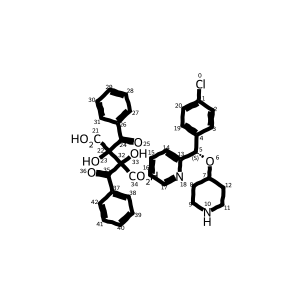 Clc1ccc([C@H](OC2CCNCC2)c2ccccn2)cc1.O=C(O)C(O)(C(=O)c1ccccc1)C(O)(C(=O)O)C(=O)c1ccccc1